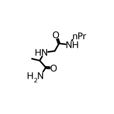 CCCNC(=O)CNC(C)C(N)=O